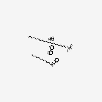 CCCCCCCCCCCCCCCCCCCCCCNC(C)=O.CCCCCCCCCCCC[N+](C)(C)Cc1ccccc1.Cl.Cl.c1ccncc1.c1ccncc1